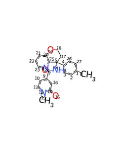 Cc1ccc(C2(NC(=O)c3ccn(C)c(=O)c3)CCOc3cccnc32)cc1